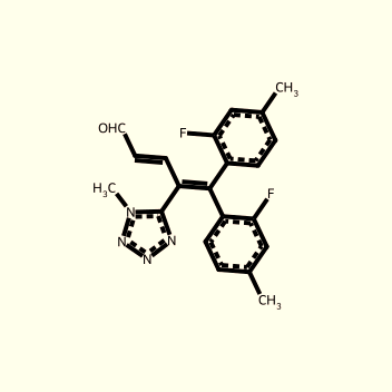 Cc1ccc(C(=C(C=CC=O)c2nnnn2C)c2ccc(C)cc2F)c(F)c1